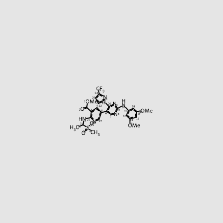 COC(=O)c1cc(-c2cnc(Nc3cc(OC)cc(OC)c3)nc2-n2ccc(C(F)(F)F)n2)cnc1NC(C)S(C)(=O)=O